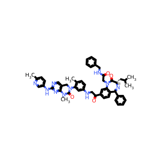 Cc1ccc(Nc2ncc3c(n2)N(C)C(=O)N(c2cc(NCC(=O)c4ccc5c(c4)N(CC(=O)NCc4ccccc4)C(=O)[C@H](CC(C)C)N=C5c4ccccc4)ccc2C)C3)cn1